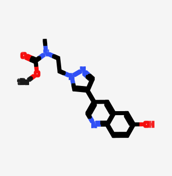 CN(CCn1cc(-c2cnc3ccc(O)cc3c2)cn1)C(=O)OC(C)(C)C